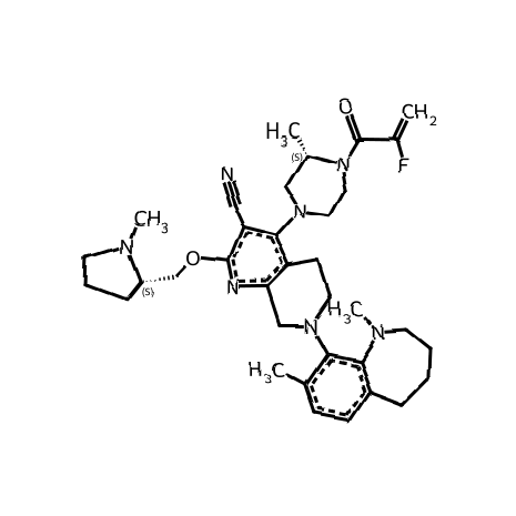 C=C(F)C(=O)N1CCN(c2c(C#N)c(OC[C@@H]3CCCN3C)nc3c2CCN(c2c(C)ccc4c2N(C)CCCC4)C3)C[C@@H]1C